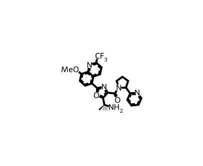 COc1ccc(-c2nc(C(=O)N3CCCC3c3ccccn3)c([C@H](C)N)o2)c2ccc(C(F)(F)F)nc12